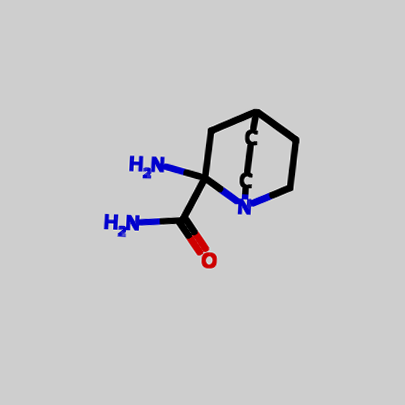 NC(=O)C1(N)CC2CCN1CC2